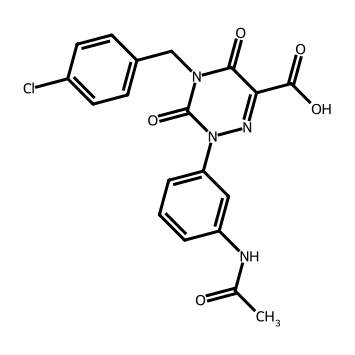 CC(=O)Nc1cccc(-n2nc(C(=O)O)c(=O)n(Cc3ccc(Cl)cc3)c2=O)c1